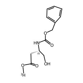 [2H]OC(=O)C[C@@H](CO)NC(=O)OCc1ccccc1